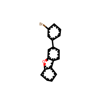 Brc1cccc(-c2ccc3c(c2)oc2ccccc23)c1